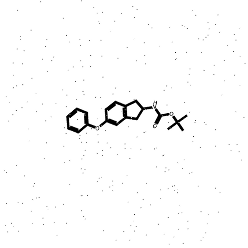 CC(C)(C)OC(=O)NC1Cc2ccc(Oc3ccccc3)cc2C1